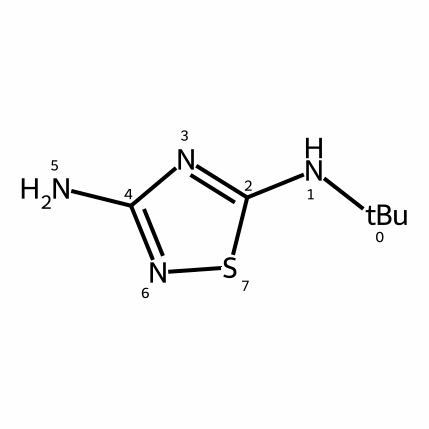 CC(C)(C)Nc1nc(N)ns1